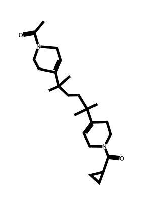 CC(=O)N1CC=C(C(C)(C)CCC(C)(C)C2=CCN(C(=O)C3CC3)CC2)CC1